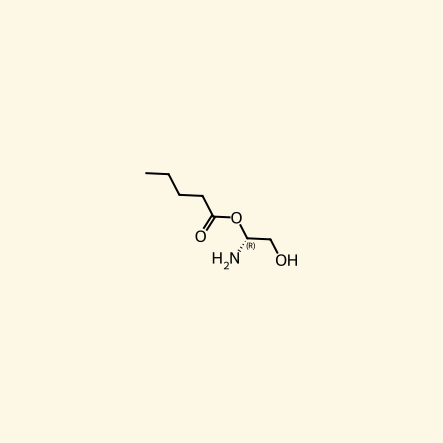 CCCCC(=O)O[C@@H](N)CO